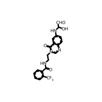 O=CC(O)Nc1ccc2ncn(CCNC(=O)c3ccccc3C(F)(F)F)c(=O)c2c1